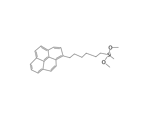 CO[Si](C)(CCCCCCc1ccc2ccc3cccc4ccc1c2c34)OC